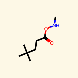 CNOC(=O)CCC(C)(C)C